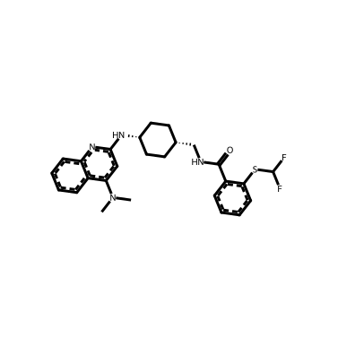 CN(C)c1cc(N[C@H]2CC[C@@H](CNC(=O)c3ccccc3SC(F)F)CC2)nc2ccccc12